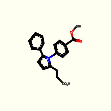 CC(C)(C)OC(=O)c1ccc(-n2c(CCC(=O)O)ccc2-c2ccccc2)cc1